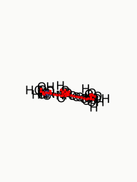 O=C(/C=C/c1cn([C@H]2CC(O)[C@@H](CO)O2)c(=O)[nH]c1=O)NCCCCCCNC(=O)c1ccc(C(=O)NCCOCCOCCOCCONC(=O)c2cc(C(=O)O)c3c(n2)C(=O)C(=O)c2cc(C(=O)O)[nH]c2-3)c(P(=O)(c2ccccc2)c2ccccc2)c1